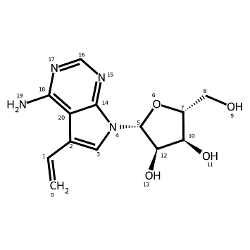 C=Cc1cn([C@@H]2O[C@H](CO)[C@@H](O)[C@H]2O)c2ncnc(N)c12